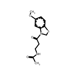 COc1ccc2c(c1)N(C(=O)CCNC(C)=O)CS2